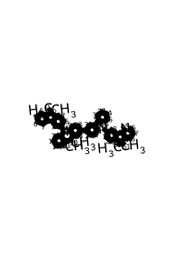 CC1(C)c2ccccc2-c2cc(N3c4ccccc4C(C)(C)c4cc(-c5ccc6c(c5)c5ccccc5n6-c5ccc6c(c5)-c5ncccc5C6(C)C)ccc43)ccc21